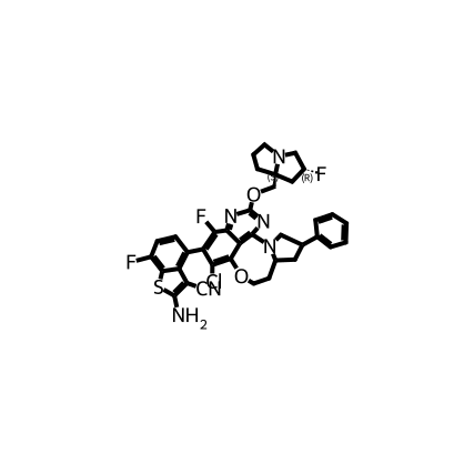 N#Cc1c(N)sc2c(F)ccc(-c3c(Cl)c4c5c(nc(OC[C@@]67CCCN6C[C@H](F)C7)nc5c3F)N3CC(c5ccccc5)CC3CCO4)c12